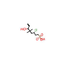 C=C[C@H](O)C(C)(C)CC(Cl)CCS(=O)(=O)O